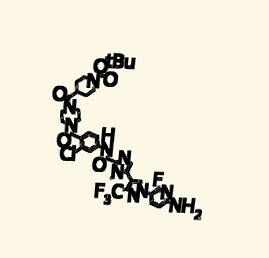 Cn1c(-c2cn(-c3ccc(N)nc3F)nc2C(F)(F)F)cnc1C(=O)Nc1ccc(C(=O)N2CCN(C(=O)C3CCN(C(=O)OC(C)(C)C)CC3)CC2)c(Cl)c1